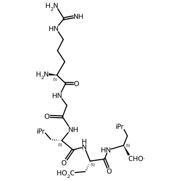 CC(C)C[C@@H]([C]=O)NC(=O)[C@H](CC(=O)O)NC(=O)[C@H](CC(C)C)NC(=O)CNC(=O)[C@@H](N)CCCNC(=N)N